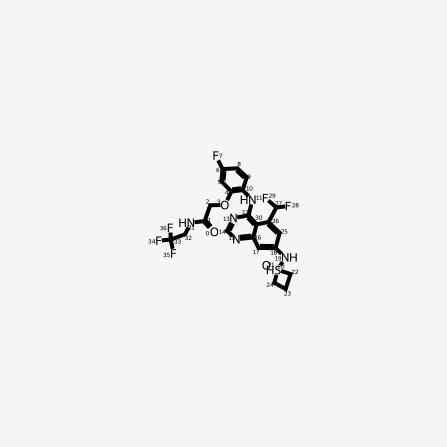 O=C(COc1cc(F)ccc1Nc1ncnc2cc(N[SH]3(=O)CCC3)cc(C(F)F)c12)NCC(F)(F)F